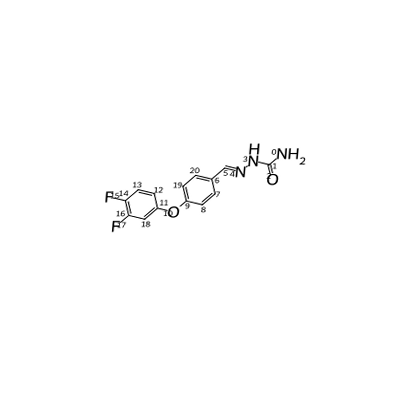 NC(=O)NN=Cc1ccc(Oc2ccc(F)c(F)c2)cc1